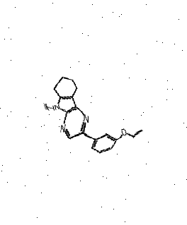 CCOc1cccc(-c2cnc3[nH]c4c(c3n2)CCCC4)c1